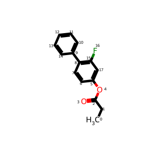 CCC(=O)Oc1ccc(-c2ccccc2)c(F)c1